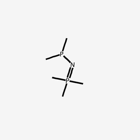 CP(C)N=P(C)(C)C